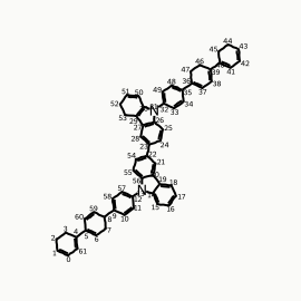 C1=CCCC(C2=CCC(c3ccc(-n4c5ccccc5c5cc(-c6ccc7c(c6)c6c(n7-c7ccc(C8=CC=C(C9=CC=CCC9)CC8)cc7)C=CCC6)ccc54)cc3)C=C2)=C1